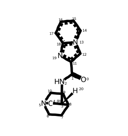 O=C(N[C@H]1CN2CCC1CC2)c1cn2ccccc2n1